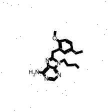 CCCCn1c(Cc2cc(CC)ccc2OC)nc2c(N)ncnc21